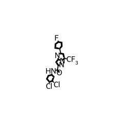 O=C(Nc1ccc(Cl)c(Cl)c1)c1cc2nc(-c3ccc(F)cc3)cc(C(F)(F)F)n2n1